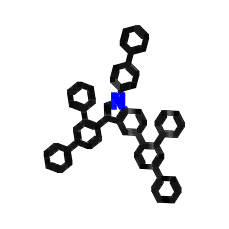 c1ccc(-c2ccc(-n3cc(-c4ccc(-c5ccccc5)cc4-c4ccccc4)c4cc(-c5ccc(-c6ccccc6)cc5-c5ccccc5)ccc43)cc2)cc1